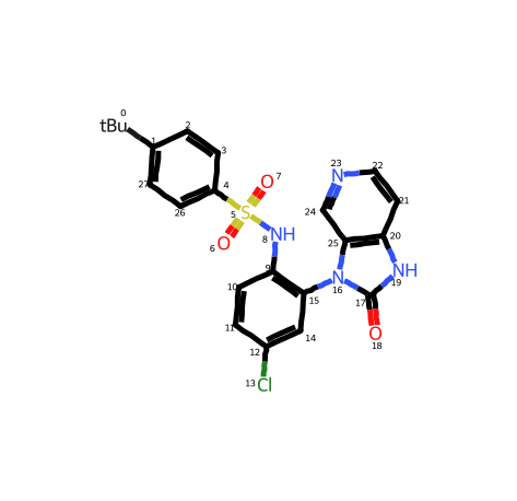 CC(C)(C)c1ccc(S(=O)(=O)Nc2ccc(Cl)cc2-n2c(=O)[nH]c3ccncc32)cc1